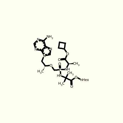 CCCCCCOC(=O)C(C)(C)NP(=O)(CO[C@H](C)Cn1cnc2c(N)ncnc21)N[C@H](C)C(=O)OC1CCC1